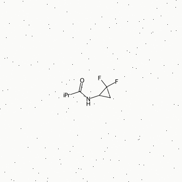 CC(C)C(=O)NC1CC1(F)F